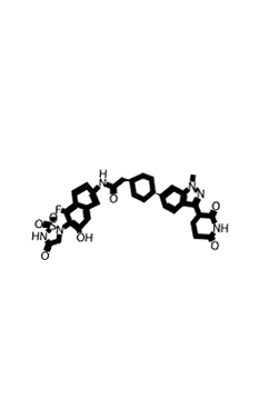 Cn1nc(C2CCC(=O)NC2=O)c2ccc([C@H]3CC[C@H](CC(=O)Nc4ccc5c(F)c(N6CC(=O)NS6(=O)=O)c(O)cc5c4)CC3)cc21